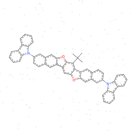 CC(C)(C)c1c2oc3cc4cc(-n5c6ccccc6c6ccccc65)ccc4cc3c2cc2oc3cc4cc(-n5c6ccccc6c6ccccc65)ccc4cc3c12